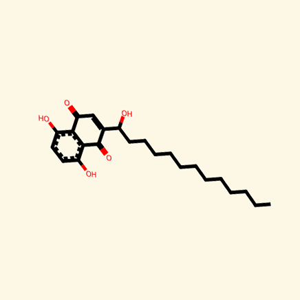 CCCCCCCCCCCCC(O)C1=CC(=O)c2c(O)ccc(O)c2C1=O